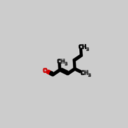 CCCC(C)/C=C(\C)C=O